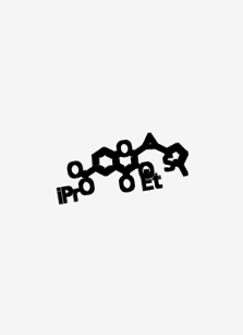 CCOc1c(C2CC2c2ccc(C)s2)oc2ccc(C(=O)OC(C)C)cc2c1=O